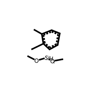 CO[SiH2]OC.Cc1ccccc1C